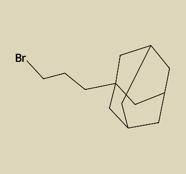 BrCCCC12CC3CC(CC(C3)C1)C2